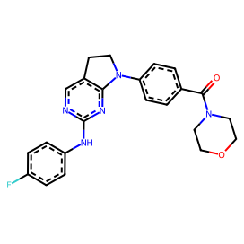 O=C(c1ccc(N2CCc3cnc(Nc4ccc(F)cc4)nc32)cc1)N1CCOCC1